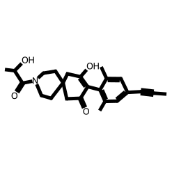 CC#Cc1cc(C)c(C2=C(O)CC3(CCN(C(=O)C(C)O)CC3)CC2=O)c(C)c1